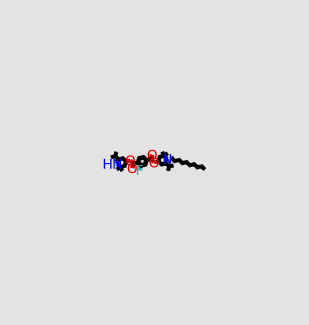 CCCCCCCCCCN1C(C(C)C)CC(OC(=O)c2ccc(C(=O)OC3CC(C(C)C)NC(C)(C)C3)c(F)c2)CC1(C)C